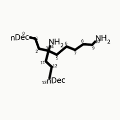 CCCCCCCCCCCCC(N)(CCCCCN)CCCCCCCCCCCC